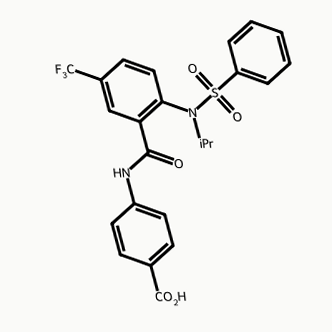 CC(C)N(c1ccc(C(F)(F)F)cc1C(=O)Nc1ccc(C(=O)O)cc1)S(=O)(=O)c1ccccc1